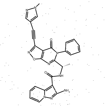 C[C@H](NC(=O)c1c(N)nn2ccccc12)c1nc2onc(C#Cc3cnn(C)c3)c2c(=O)n1-c1ccccc1